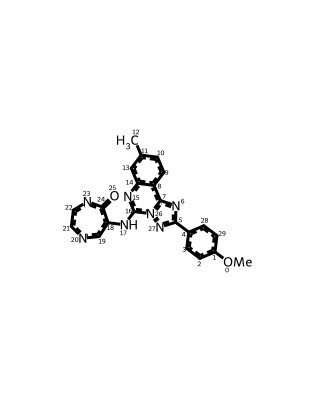 COc1ccc(-c2nc3c4ccc(C)cc4nc(Nc4cnccnc4=O)n3n2)cc1